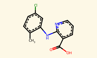 Cc1ccc(Cl)cc1Nc1ncccc1C(=O)O